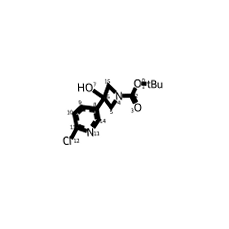 CC(C)(C)OC(=O)N1CC(O)(c2ccc(Cl)nc2)C1